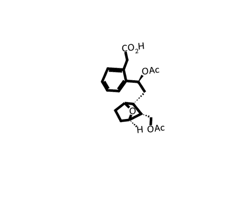 CC(=O)OC[C@@H]1[C@H]2CCC(O2)[C@@H]1C[C@H](OC(C)=O)c1ccccc1CC(=O)O